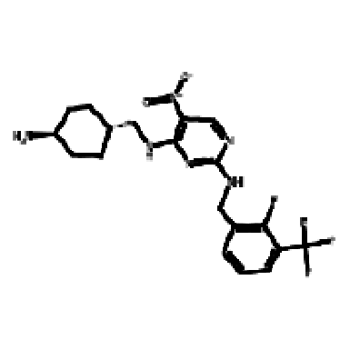 N[C@H]1CC[C@H](CNc2nc(NCc3cccc(C(F)(F)F)c3F)ncc2[N+](=O)[O-])CC1